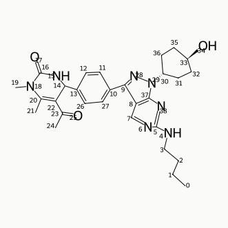 CCCCNc1ncc2c(-c3ccc(C4NC(=O)N(C)C(C)=C4C(C)=O)cc3)nn([C@H]3CC[C@H](O)CC3)c2n1